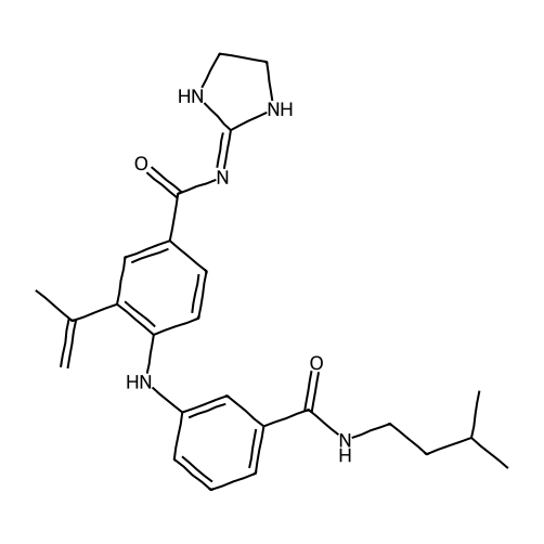 C=C(C)c1cc(C(=O)N=C2NCCN2)ccc1Nc1cccc(C(=O)NCCC(C)C)c1